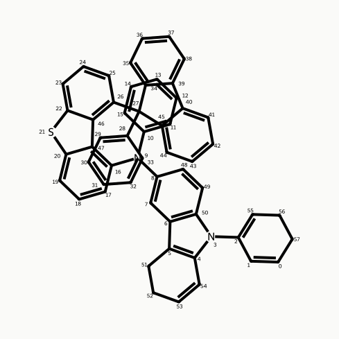 C1=CC(n2c3c(c4cc(N(c5ccccc5)c5cccc6sc7cccc(C8(c9ccccc9)c9ccccc9-c9ccccc98)c7c56)ccc42)CCC=C3)=CCC1